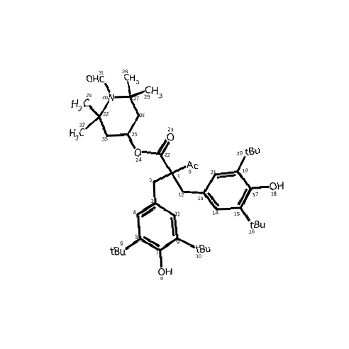 CC(=O)C(Cc1cc(C(C)(C)C)c(O)c(C(C)(C)C)c1)(Cc1cc(C(C)(C)C)c(O)c(C(C)(C)C)c1)C(=O)OC1CC(C)(C)N(C=O)C(C)(C)C1